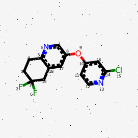 FC1(F)CCc2ncc(Oc3ccnc(Cl)c3)cc2C1